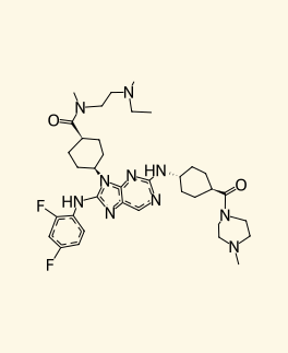 CCN(C)CCN(C)C(=O)[C@H]1CC[C@@H](n2c(Nc3ccc(F)cc3F)nc3cnc(N[C@H]4CC[C@H](C(=O)N5CCN(C)CC5)CC4)nc32)CC1